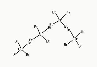 CC[N+](CC)(CC)CC.CC[N+](CC)(CC)CC.[Br][Cu-]([Br])([Br])[Br].[Br][Cu-]([Br])([Br])[Br]